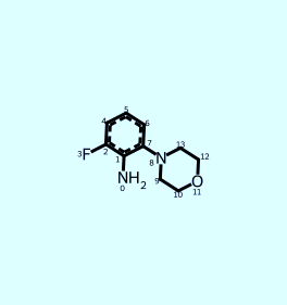 Nc1c(F)cccc1N1CCOCC1